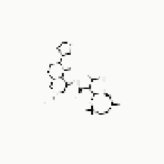 CCCCN1CC2CCC(C3CCCC3)C(CC)C2C(NC(=O)C(C(N)N)C2CC(CC)(CCCC)CCC(F)/C=N\2)C1